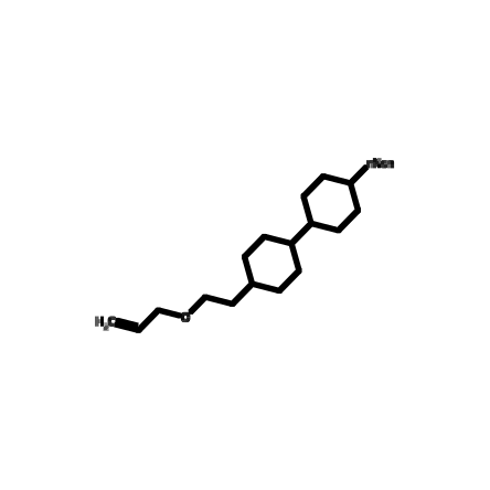 C=CCOCCC1CCC(C2CCC(CCCCCCCCC)CC2)CC1